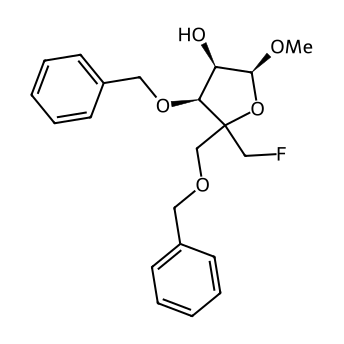 CO[C@H]1OC(CF)(COCc2ccccc2)[C@@H](OCc2ccccc2)[C@H]1O